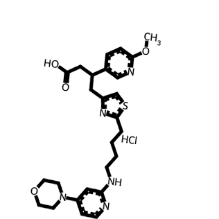 COc1ccc(C(CC(=O)O)Cc2csc(CCCCNc3cc(N4CCOCC4)ccn3)n2)cn1.Cl